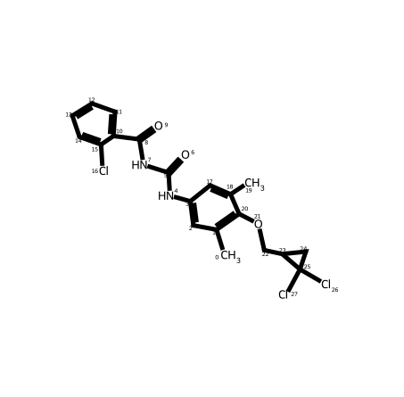 Cc1cc(NC(=O)NC(=O)c2ccccc2Cl)cc(C)c1OCC1CC1(Cl)Cl